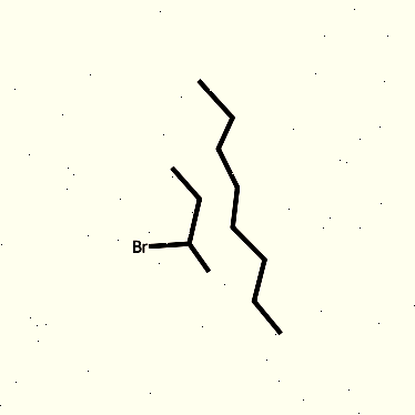 CCC(C)Br.CCCCCCCC